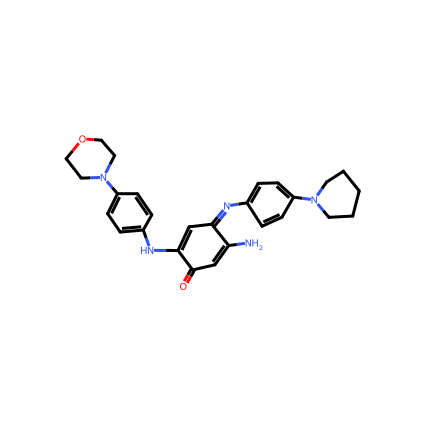 NC1=CC(=O)C(Nc2ccc(N3CCOCC3)cc2)=C/C1=N/c1ccc(N2CCCCC2)cc1